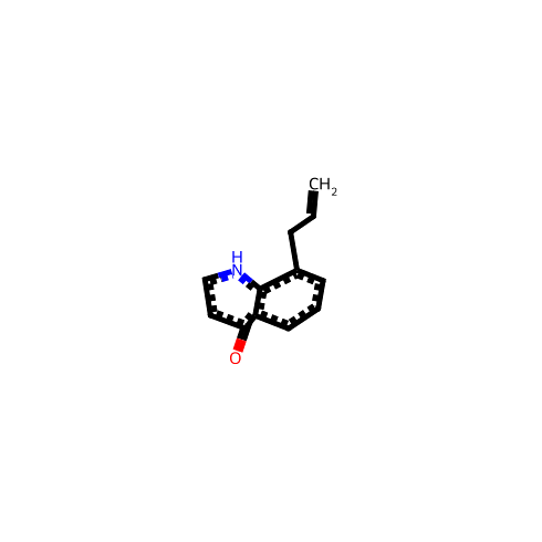 C=CCc1cccc2c(=O)cc[nH]c12